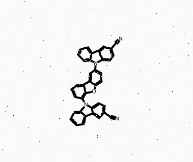 N#Cc1ccc2c(c1)c1ccccc1n2-c1ccc2oc3c(-n4c5ccccc5c5cc(C#N)ccc54)cccc3c2c1